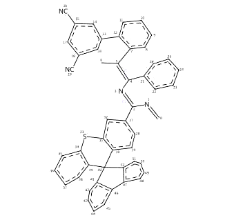 C=N/C(=N\C(=C(/C)c1ccccc1-c1cc(C#N)cc(C#N)c1)c1ccccc1)c1ccc2c(c1)Sc1ccccc1C21c2ccccc2-c2ccccc21